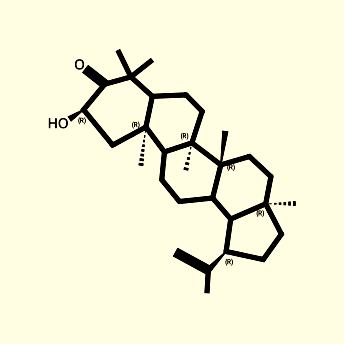 C=C(C)[C@@H]1CC[C@]2(C)CC[C@]3(C)C(CCC4[C@@]5(C)C[C@@H](O)C(=O)C(C)(C)C5CC[C@]43C)C12